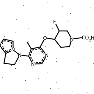 Cc1c(OC2CCN(C(=O)O)CC2F)ncnc1N1CCc2nccn21